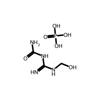 N=C(NCO)NC(N)=O.O=P(O)(O)O